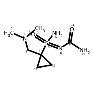 CN(C)CC1(S(N)(=O)=NC(N)=O)CC1